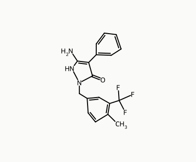 Cc1ccc(Cn2[nH]c(N)c(-c3ccccc3)c2=O)cc1C(F)(F)F